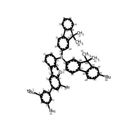 CC(C)c1cc(-c2cc(C(C)(C)C)cc(C(C)(C)C)c2)cc2c1oc1c(N(c3ccc4c(c3)C(C)(C)c3ccccc3-4)c3ccc4c(c3)C(C)(C)c3cc(C(C)(C)C)ccc3-4)cccc12